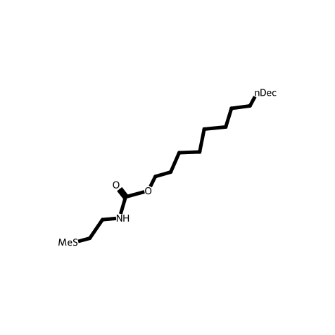 CCCCCCCCCCCCCCCCCCOC(=O)NCCSC